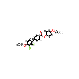 CCCCCCCCOc1ccc(OC(=O)c2ccc(-c3ccc(OCCCCCCCC)c(F)c3F)cc2)cc1